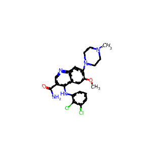 COc1cc2c(Nc3cccc(Cl)c3Cl)c(C(N)=O)cnc2cc1N1CCN(C)CC1